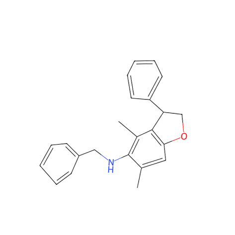 Cc1cc2c(c(C)c1NCc1ccccc1)C(c1ccccc1)CO2